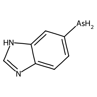 [AsH2]c1ccc2nc[nH]c2c1